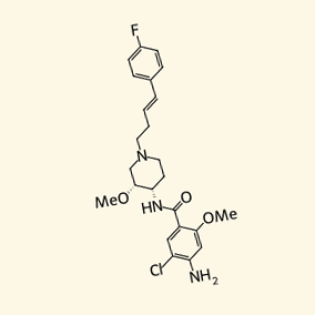 COc1cc(N)c(Cl)cc1C(=O)N[C@H]1CCN(CCC=Cc2ccc(F)cc2)C[C@H]1OC